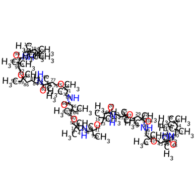 CCC(C)(CNCC(C)(CC)COCC(C)(CC)CC(=O)NCCC(C)(C)OCCC(C)(C)C(=O)NCCC(C)(C)OCCC(C)(C)C(=O)NCC(C)(C)CC(C)(C)C)COCC(C)(CC)CC(=O)NCCC(C)(C)OCCC(C)(C)C(=O)NCCCC(C)(CC)OCCC(C)(C)C(=O)NCC(C)(C)CC(C)(C)C